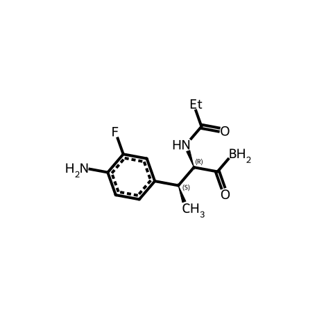 BC(=O)[C@H](NC(=O)CC)[C@@H](C)c1ccc(N)c(F)c1